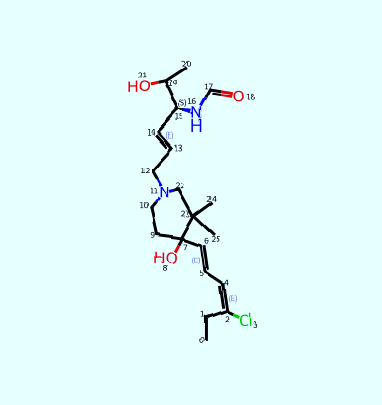 CC/C(Cl)=C\C=C\C1(O)CCN(C/C=C/[C@H](NC=O)C(C)O)CC1(C)C